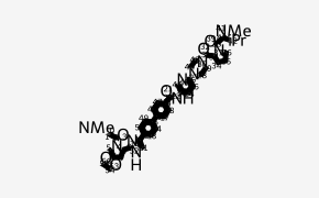 CNCC(=O)N1CC2(CC1c1nc(-c3ccc(-c4ccc(C(=O)Nc5ccc(N6CCN(C(=O)C7CCCN7C(=O)C(NC)C(C)C)CC6)nc5)cc4)cc3)c[nH]1)OCCO2